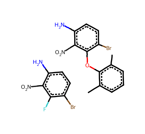 Cc1cccc(C)c1Oc1c(Br)ccc(N)c1[N+](=O)[O-].Nc1ccc(Br)c(F)c1[N+](=O)[O-]